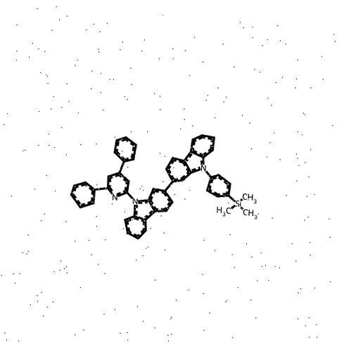 C[Si](C)(C)c1ccc(-n2c3ccccc3c3ccc(-c4ccc5c6ccccc6n(-c6cc(-c7ccccc7)cc(-c7ccccc7)n6)c5c4)cc32)cc1